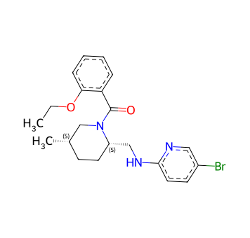 CCOc1ccccc1C(=O)N1C[C@@H](C)CC[C@H]1CNc1ccc(Br)cn1